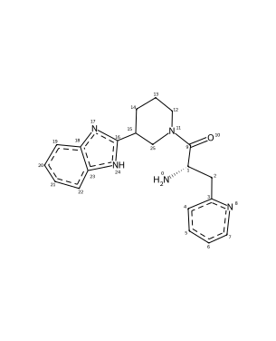 N[C@@H](Cc1ccccn1)C(=O)N1CCCC(c2nc3ccccc3[nH]2)C1